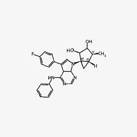 C[C@@H]1C(O)C(O)[C@@]2(N3C=C(c4ccc(F)cc4)C4C(Nc5ccccc5)=NC=NC43)C[C@@H]12